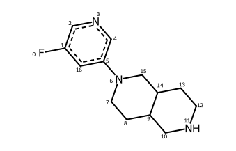 Fc1cncc(N2CCC3CNCCC3C2)c1